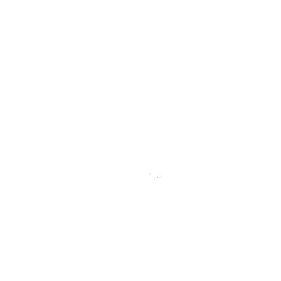 C[Se]C1CCCCC1